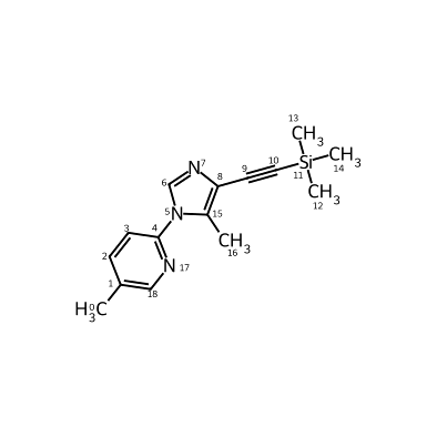 Cc1ccc(-n2cnc(C#C[Si](C)(C)C)c2C)nc1